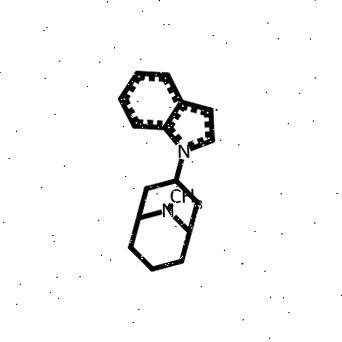 CN1C2CCCC1CC(n1c[c]c3ccccc31)C2